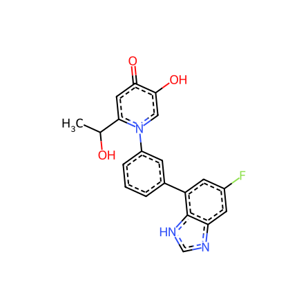 CC(O)c1cc(=O)c(O)cn1-c1cccc(-c2cc(F)cc3nc[nH]c23)c1